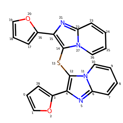 c1coc(-c2nc3ccccn3c2Sc2c(-c3ccco3)nc3ccccn23)c1